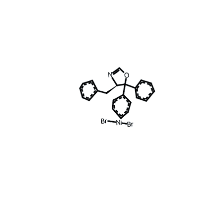 C1=N[C@H](Cc2ccccc2)C(c2ccccc2)(c2ccccc2)O1.[Br][Ni][Br]